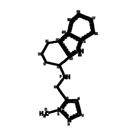 Cn1nccc1CNC1CCCc2c1[nH]c1ccccc21